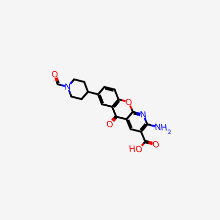 Nc1nc2oc3ccc(C4CCN(C=O)CC4)cc3c(=O)c2cc1C(=O)O